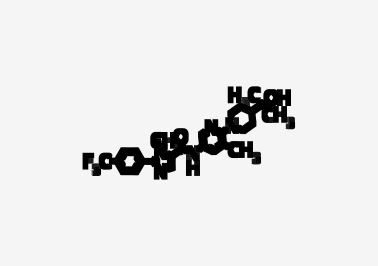 Cc1cc(NC(=O)c2cnc(-c3ccc(C(F)(F)F)cc3)n2C)cnc1N1CCC(C(C)(C)O)CC1